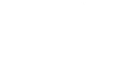 CC1(C)C=Cc2c(c(O)cc3oc4cc(O)cc(O)c4c(=O)c23)O1